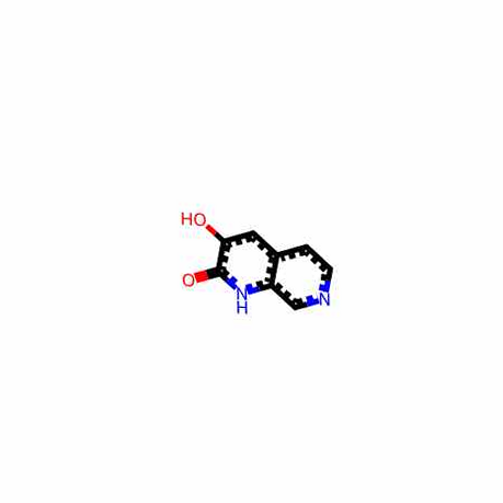 O=c1[nH]c2cnccc2cc1O